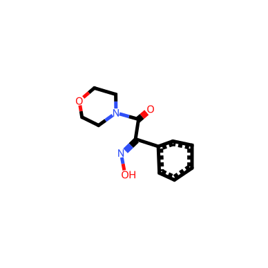 O=C(/C(=N/O)c1ccccc1)N1CCOCC1